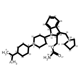 CC(C)C1CCC(N2CCC(n3c(COC(N)=O)c(CN4CCCC4)c4ccccc43)CC2)CC1